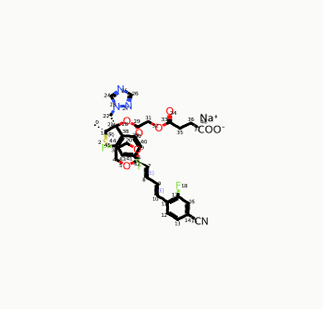 C[C@@H](S[C@H]1CO[C@H](/C=C/C=C/c2ccc(C#N)cc2F)OC1)[C@@](Cn1cncn1)(OC(=O)COC(=O)CCC(=O)[O-])c1ccc(F)cc1F.[Na+]